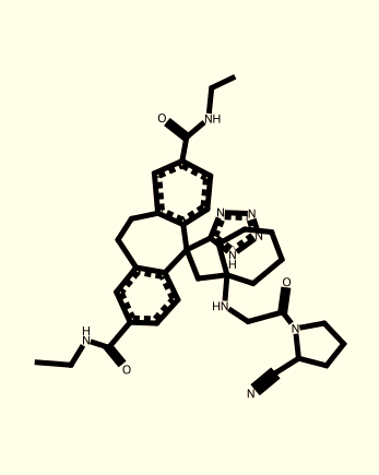 CCNC(=O)c1ccc2c(c1)CCc1cc(C(=O)NCC)ccc1C2(CC1(NCC(=O)N2CCCC2C#N)CCCCC1)c1nnn[nH]1